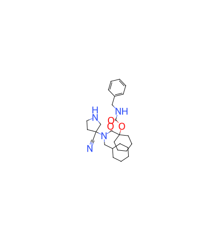 N#CC1(N(CC2CCCCC2)C(=O)C2(OC(=O)NCc3ccccc3)CCCCC2)CCNC1